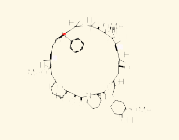 CO[C@H]1C[C@@H]2CC[C@@H](C)[C@@](O)(O2)C(=O)C(=O)N2CCCC[C@H]2C(=O)O[C@H]([C@H](C)C[C@@H]2CC[C@@H](O)[C@H](OC)C2)CC(=O)[C@H](C)/C=C(/C)[C@@H](O)[C@@H](OC)C(=O)[C@H](C)C[C@H](C)C2C=CC(/C=C/1C)ON2c1ccccc1